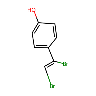 Oc1ccc(C(Br)=CBr)cc1